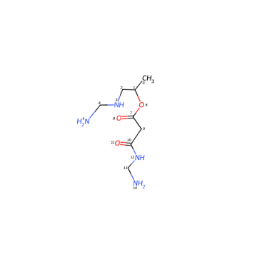 CC(CNCN)OC(=O)CC(=O)NCN